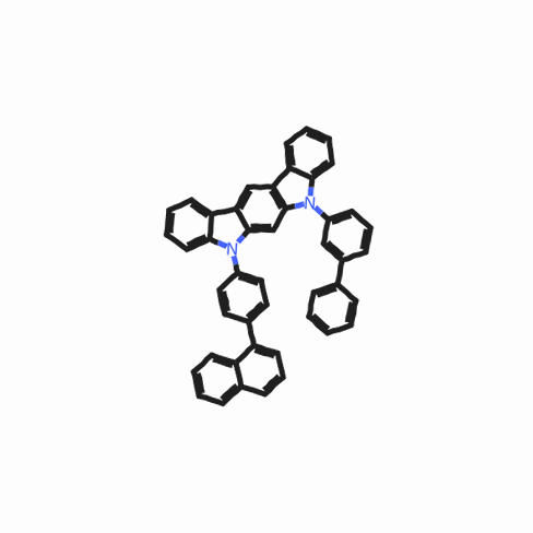 c1ccc(-c2cccc(-n3c4ccccc4c4cc5c6ccccc6n(-c6ccc(-c7cccc8ccccc78)cc6)c5cc43)c2)cc1